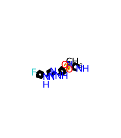 CN(C1CCNCC1)S(=O)(=O)c1ccc(Nc2nccc(Nc3ccc(F)cc3)n2)cc1